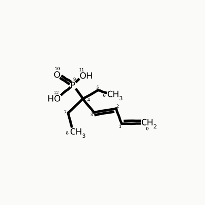 C=CC=CC(CC)(CC)P(=O)(O)O